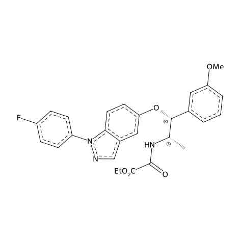 CCOC(=O)C(=O)N[C@@H](C)[C@H](Oc1ccc2c(cnn2-c2ccc(F)cc2)c1)c1cccc(OC)c1